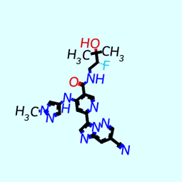 Cn1cc(Nc2cc(-c3cnc4cc(C#N)cnn34)ncc2C(=O)NC[C@@H](F)C(C)(C)O)cn1